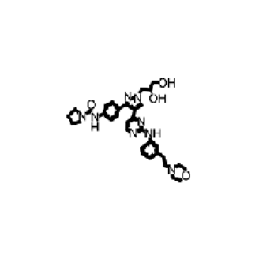 O=C(Nc1ccc(-c2nn(C[C@@H](O)CO)cc2-c2ccnc(Nc3cccc(CCN4CCOCC4)c3)n2)cc1)N1CCCC1